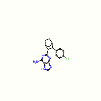 Nc1nc(C2C3CCC(C3)C2c2ccc(Cl)cc2)nc2nc[nH]c12